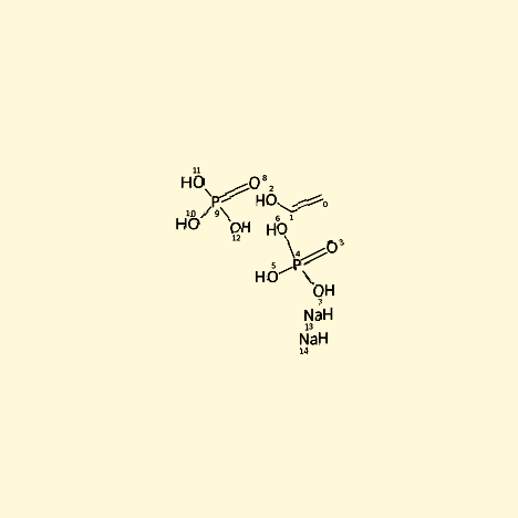 C=CO.O=P(O)(O)O.O=P(O)(O)O.[NaH].[NaH]